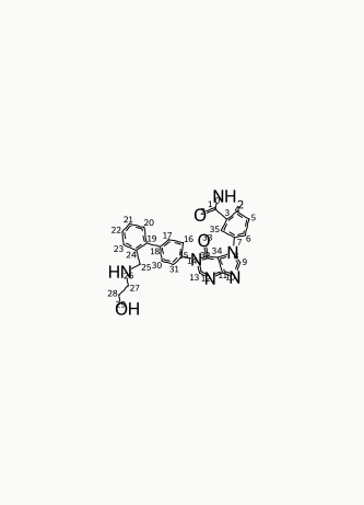 NC(=O)c1cccc(-n2cnc3ncn(-c4ccc(-c5ccccc5CNCCO)cc4)c(=O)c32)c1